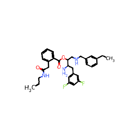 CCCNC(=O)Cc1ccccc1C(=O)OC(CNCc1cccc(CC)c1)C(N)Cc1cc(F)cc(F)c1